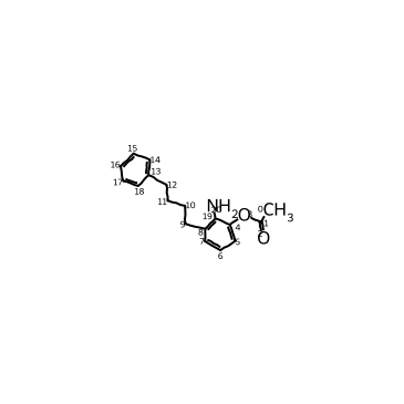 CC(=O)Oc1cccc(CCCCc2ccccc2)c1N